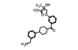 C[C@@](O)(COc1cccc(C(=O)N2CCC(c3cccc(CN)c3)CC2)c1)C(=O)O